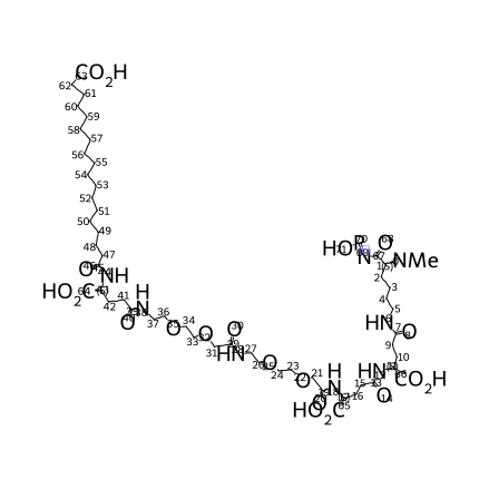 CN[C@@H](CCCCNC(=O)CC[C@H](NC(=O)CC[C@H](NC(=O)COCCOCCNC(=O)COCCOCCNC(=O)CC[C@H](NC(=O)CCCCCCCCCCCCCCCCC(=O)O)C(=O)O)C(=O)O)C(=O)O)C(=O)/N=P/O